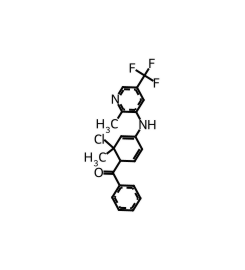 Cc1ncc(C(F)(F)F)cc1NC1=CC(C)(Cl)C(C(=O)c2ccccc2)C=C1